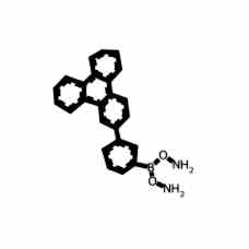 NOB(ON)c1cccc(-c2ccc3c4ccccc4c4ccccc4c3c2)c1